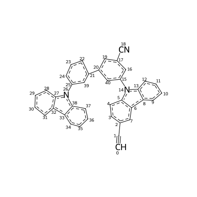 C#Cc1ccc2c(c1)c1ccccc1n2-c1cc(C#N)cc(-c2cccc(-n3c4ccccc4c4ccccc43)c2)c1